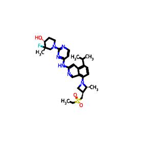 CCS(=O)(=O)C[C@H]1CN(c2ccc(C(C)C)c3cc(Nc4ccnc(N5CC[C@@H](O)[C@@](C)(F)C5)n4)ncc23)[C@@H]1C